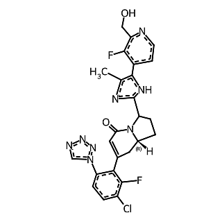 Cc1nc(C2CC[C@@H]3CC(c4c(-n5cnnn5)ccc(Cl)c4F)=CC(=O)N23)[nH]c1-c1ccnc(CO)c1F